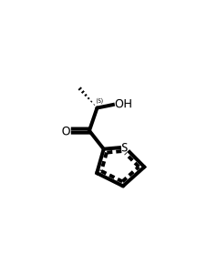 C[C@H](O)C(=O)c1cccs1